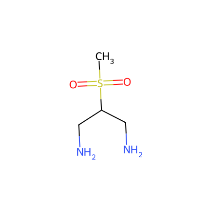 CS(=O)(=O)C(CN)CN